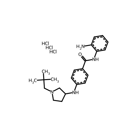 CC(C)(C)CN1CCC(Nc2ccc(C(=O)Nc3ccccc3N)cc2)C1.Cl.Cl.Cl